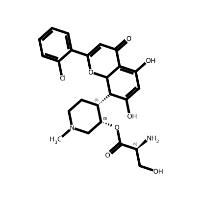 CN1CC[C@H](C2C(O)=CC(O)=C3C(=O)C=C(c4ccccc4Cl)OC32)[C@H](OC(=O)[C@@H](N)CO)C1